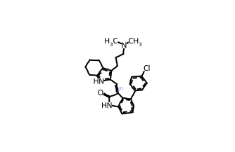 CN(C)CCCc1c(/C=C2\C(=O)Nc3cccc(-c4ccc(Cl)cc4)c32)[nH]c2c1CCCC2